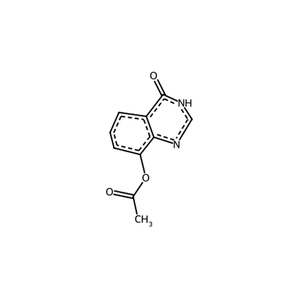 CC(=O)Oc1cccc2c(=O)[nH]cnc12